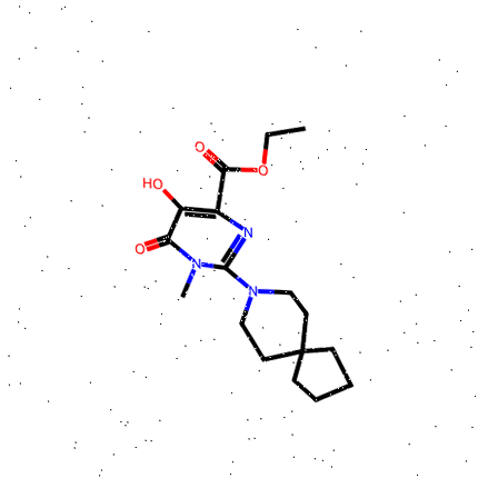 CCOC(=O)c1nc(N2CCC3(CCCC3)CC2)n(C)c(=O)c1O